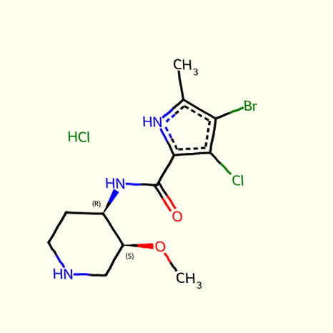 CO[C@H]1CNCC[C@H]1NC(=O)c1[nH]c(C)c(Br)c1Cl.Cl